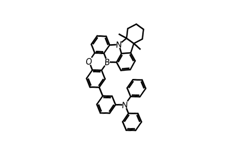 CC12CCCCC1(C)N1c3cccc4c3B(c3cc(-c5cccc(N(c6ccccc6)c6ccccc6)c5)ccc3O4)c3cccc2c31